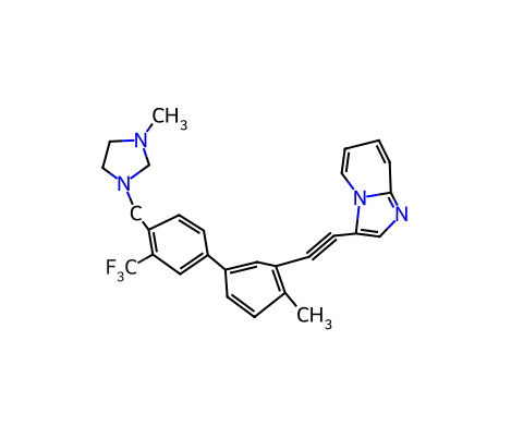 Cc1ccc(-c2ccc(CN3CCN(C)C3)c(C(F)(F)F)c2)cc1C#Cc1cnc2ccccn12